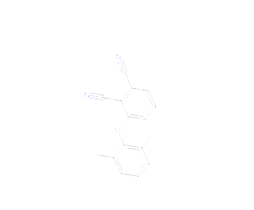 Cc1cccc(C)c1Oc1cccc(C#N)c1C#N